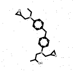 CCN(CC1CO1)c1ccc(Cc2ccc(N(CC(C)O)CC3CO3)cc2)cc1